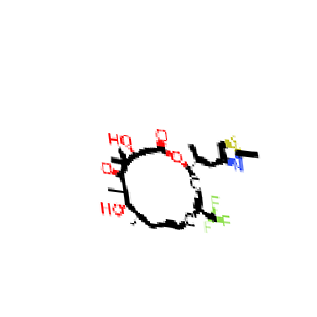 C/C(=C\c1csc(C)n1)[C@@H]1C/C=C(/C(F)(F)F)C/C=C/C[C@H](C)[C@H](O)[C@@H](C)C(=O)C(C)(C)[C@@H](O)CC(=O)O1